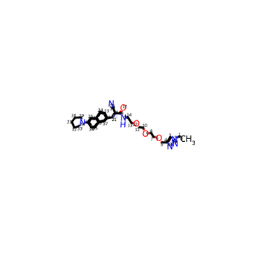 CCn1cc(COCCOCCOCCNC(=O)/C(C#N)=C/c2ccc3cc(N4CCCCC4)ccc3c2)nn1